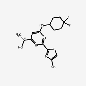 Cc1csc(-c2nc(NC3CCC(F)(F)CC3)cc([C@@H](C)O)n2)n1